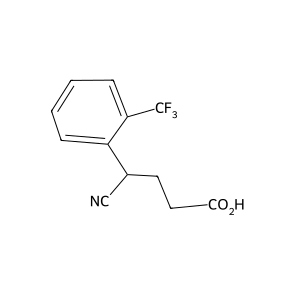 N#CC(CCC(=O)O)c1ccccc1C(F)(F)F